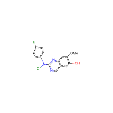 COc1cc2nc(N(Cl)c3ccc(F)cc3)ncc2cc1O